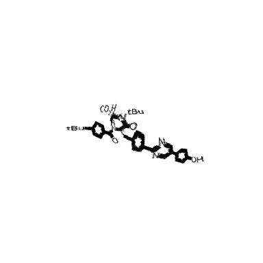 C[C@H](C(=O)O)N(C(=O)[C@H](Cc1ccc(-c2ncc(-c3ccc(O)cc3)cn2)cc1)NC(=O)c1ccc(C(C)(C)C)cc1)C(C)(C)C